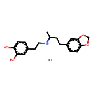 CC(CCc1ccc2c(c1)OCO2)NCCc1ccc(O)c(O)c1.Cl